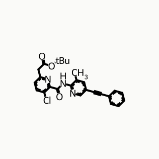 Cc1cc(C#Cc2ccccc2)cnc1NC(=O)c1nc(CC(=O)OC(C)(C)C)ccc1Cl